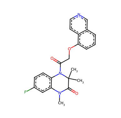 CN1C(=O)C(C)(C)N(C(=O)COc2cccc3cnccc23)c2ccc(F)cc21